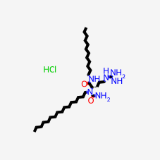 CCCCCCCCCCCCCCCCN(C(N)=O)[C@@H](CCCNC(=N)N)C(=O)NCCCCCCCCCCCC.Cl